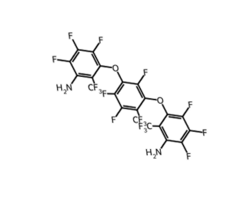 Nc1c(F)c(F)c(F)c(Oc2c(F)c(F)c(C(F)(F)F)c(Oc3c(F)c(F)c(F)c(N)c3C(F)(F)F)c2F)c1C(F)(F)F